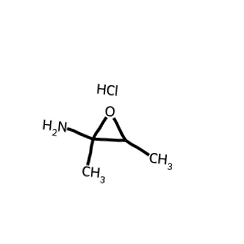 CC1OC1(C)N.Cl